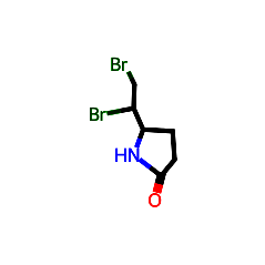 O=C1CCC(C(Br)CBr)N1